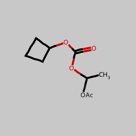 CC(=O)OC(C)OC(=O)OC1CCC1